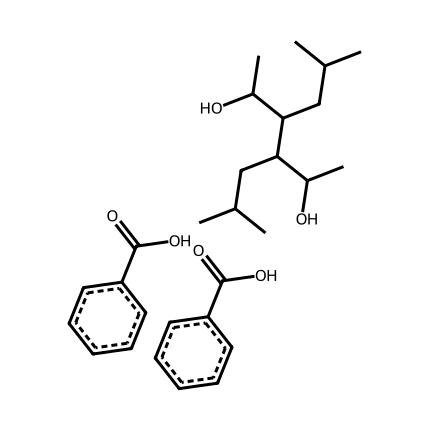 CC(C)CC(C(C)O)C(CC(C)C)C(C)O.O=C(O)c1ccccc1.O=C(O)c1ccccc1